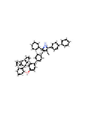 Cc1c(-c2ccc(-c3ccccc3)cc2)[nH]c(-c2ccccc2)c1-c1ccc(-c2ccc3c(c2)C2(c4ccccc4O3)c3ccccc3-c3ccccc32)cc1